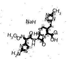 CO/N=C(/C(=O)N[C@@H]1C(=O)N2C(C(=O)O)=C(Cn3nnc(C)n3)CS[C@H]12)c1csc(N)n1.[NaH]